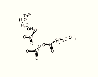 O.O.O.O.O.O.O=[N+]([O-])[O-].O=[N+]([O-])[O-].O=[N+]([O-])[O-].[Tb+3]